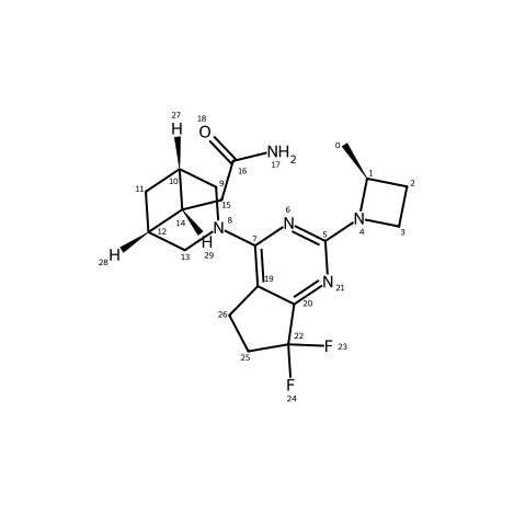 C[C@H]1CCN1c1nc(N2C[C@H]3C[C@@H](C2)[C@H]3CC(N)=O)c2c(n1)C(F)(F)CC2